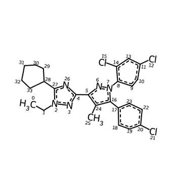 CCn1nc(-c2nn(-c3ccc(Cl)cc3Cl)c(-c3ccc(Cl)cc3)c2C)nc1C1CCCCC1